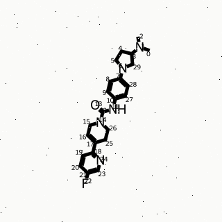 CN(C)C1CCN(c2ccc(NC(=O)N3CC=C(c4ccc(F)cn4)CC3)cc2)C1